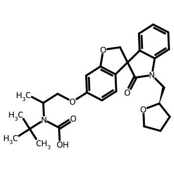 CC(COc1ccc2c(c1)OCC21C(=O)N(C[C@H]2CCCO2)c2ccccc21)N(C(=O)O)C(C)(C)C